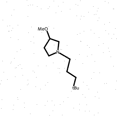 COC1CCN(CCCC(C)(C)C)C1